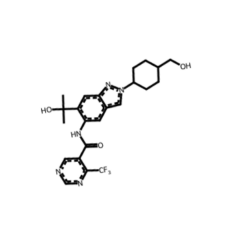 CC(C)(O)c1cc2nn(C3CCC(CO)CC3)cc2cc1NC(=O)c1cncnc1C(F)(F)F